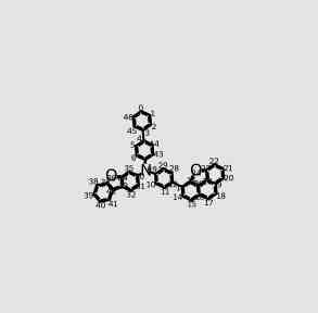 c1ccc(-c2ccc(N(c3ccc(-c4ccc5ccc6cccc7oc4c5c67)cc3)c3ccc4c(c3)oc3ccccc34)cc2)cc1